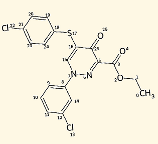 CCOC(=O)c1nn(-c2cccc(Cl)c2)cc(Sc2ccc(Cl)cc2)c1=O